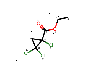 CCOC(=O)C1(Cl)CC1(Cl)Cl